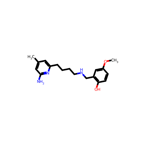 COc1ccc(O)c(CNCCCCc2cc(C)cc(N)n2)c1